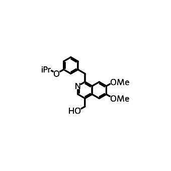 COc1cc2c(CO)cnc(Cc3cccc(OC(C)C)c3)c2cc1OC